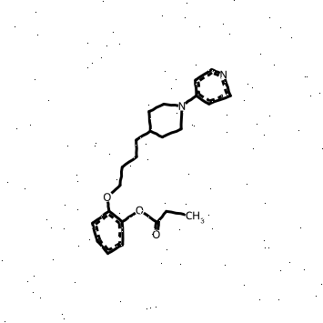 CCC(=O)Oc1ccccc1OCCCCC1CCN(c2ccncc2)CC1